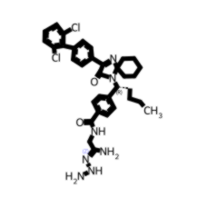 CCCC[C@H](c1ccc(C(=O)NC/C(N)=N/NN)cc1)N1C(=O)C(c2ccc(-c3c(Cl)cccc3Cl)cc2)=NC12CCCCC2